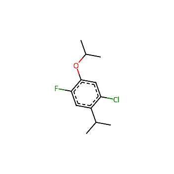 CC(C)Oc1cc(Cl)c(C(C)C)cc1F